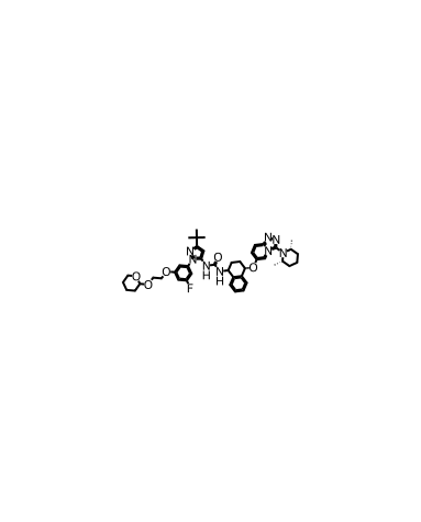 C[C@@H]1CCC[C@H](C)N1c1nnc2ccc(O[C@@H]3CCC(NC(=O)Nc4cc(C(C)(C)C)nn4-c4cc(F)cc(OCCOC5CCCCO5)c4)c4ccccc43)cn12